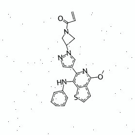 C=CC(=O)N1CC(n2cc(-c3nc(OC)c4ccsc4c3Nc3ccccc3)cn2)C1